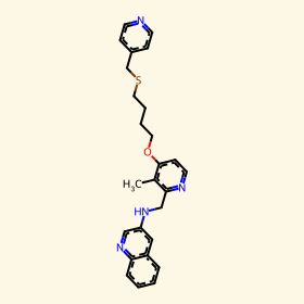 Cc1c(OCCCCSCc2ccncc2)ccnc1CNc1cnc2ccccc2c1